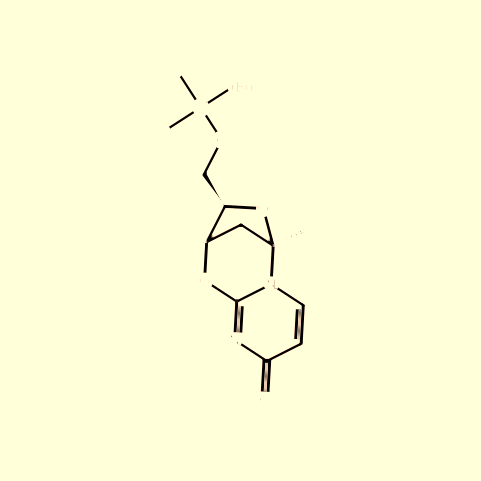 CC(C)(C)[Si](C)(C)OC[C@H]1O[C@@H]2CC1Oc1nc(=O)ccn12